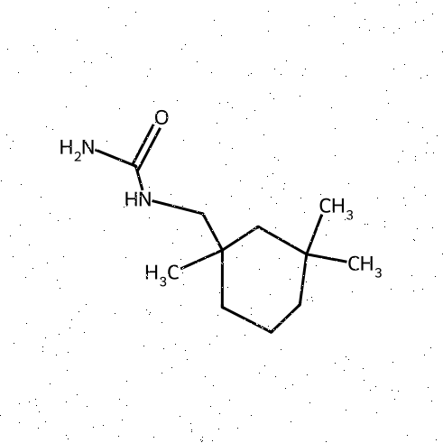 CC1(C)CCCC(C)(CNC(N)=O)C1